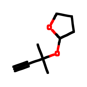 C#CC(C)(C)OC1CCCO1